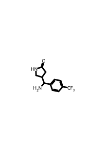 NC(c1ccc(C(F)(F)F)cc1)C1CNC(=O)C1